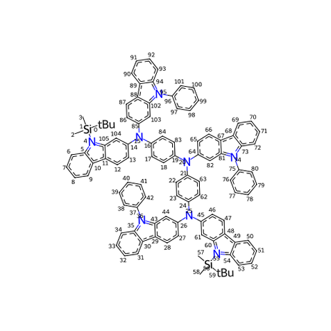 CC(C)(C)[Si](C)(C)n1c2ccccc2c2ccc(N(c3ccc(N(c4ccc(N(c5ccc6c7ccccc7n(-c7ccccc7)c6c5)c5ccc6c7ccccc7n([Si](C)(C)C(C)(C)C)c6c5)cc4)c4ccc5c6ccccc6n(-c6ccccc6)c5c4)cc3)c3ccc4c5ccccc5n(-c5ccccc5)c4c3)cc21